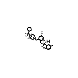 Cc1ccc(F)c(C(=O)Nc2cc(F)cc(CN3CCN(C(=O)C4CCCC4)[C@@H](C)C3)c2C)c1